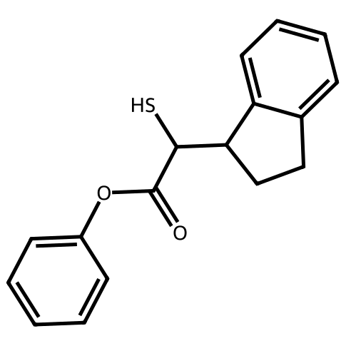 O=C(Oc1ccccc1)C(S)C1CCc2ccccc21